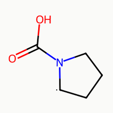 O=C(O)N1[CH]CCC1